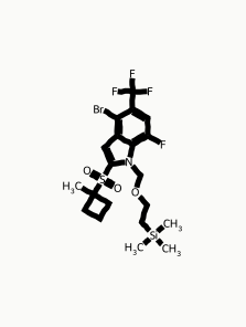 CC1(S(=O)(=O)c2cc3c(Br)c(C(F)(F)F)cc(F)c3n2COCC[Si](C)(C)C)CCC1